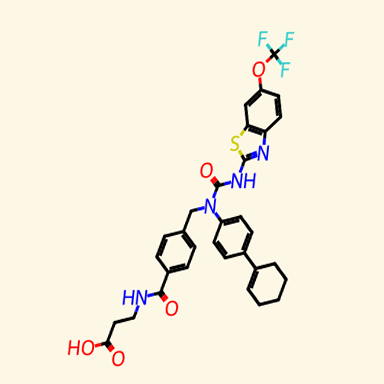 O=C(O)CCNC(=O)c1ccc(CN(C(=O)Nc2nc3ccc(OC(F)(F)F)cc3s2)c2ccc(C3=CCCCC3)cc2)cc1